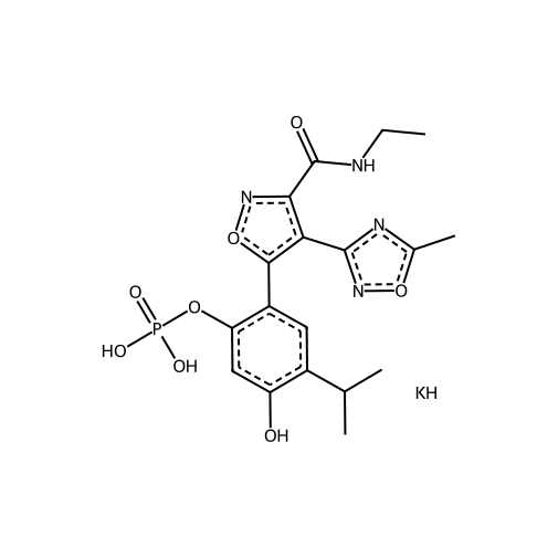 CCNC(=O)c1noc(-c2cc(C(C)C)c(O)cc2OP(=O)(O)O)c1-c1noc(C)n1.[KH]